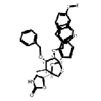 CCOc1ccc(Cc2cc([C@]34OC[C@](C5CNC(=O)O5)(O3)[C@@H](C)[C@H](OCc3ccccc3)[C@H]4OCc3ccccc3)ccc2Cl)cc1